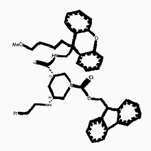 COCCCCC1(CNC(=O)[C@H]2C[C@@H](NCCC(C)C)CN(C(=O)OCC3c4ccccc4-c4ccccc43)C2)c2ccccc2Oc2ccccc21